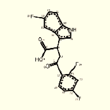 O=C(CC(C(=O)O)c1c[nH]c2ccc(F)cc12)c1ccc(F)cc1F